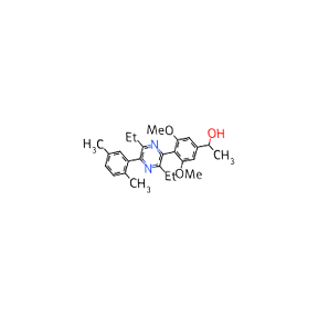 CCc1nc(-c2c(OC)cc(C(C)O)cc2OC)c(CC)nc1-c1cc(C)ccc1C